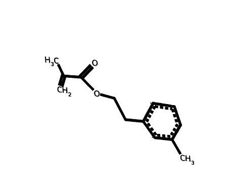 C=C(C)C(=O)OCCc1[c]ccc(C)[c]1